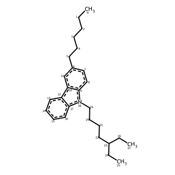 CCCCCCc1ccc2c(c1)c1ccccc1n2CCCCC(CC)CC